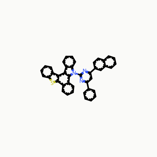 c1ccc(-c2cc(-c3ccc4ccccc4c3)nc(-n3c4ccccc4c4c5c6ccccc6sc5c5ccccc5c43)n2)cc1